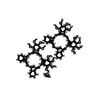 COc1c(OC)c(OC)c2c(c1OC)-c1nc-2nc2[nH]c(nc3nc(nc4[nH]c(n1)c1ccccc41)-c1ccccc1-3)c1c(OC)c(OC)c(OC)c(OC)c21.COc1c(OC)c(OC)c2c(c1OC)-c1nc-2nc2[nH]c(nc3nc(nc4[nH]c(n1)c1ccccc41)-c1ccccc1-3)c1c(OC)c(OC)c(OC)c(OC)c21.Cl.Cl